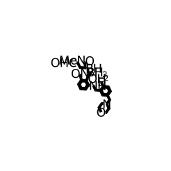 BC(CCC=O)(C(=O)NC)N1C(=O)c2cccc(NCc3cc(CN4CCOCC4)ccc3F)c2C1(B)O